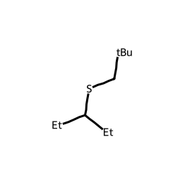 CCC(CC)SCC(C)(C)C